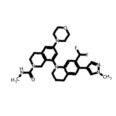 CNC(=O)N1CCc2cc(N3CCOCC3)cc(N3CCCc4cc(-c5cnn(C)c5)c(C(F)F)cc43)c2C1